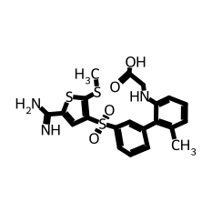 CSc1sc(C(=N)N)cc1S(=O)(=O)c1cccc(-c2c(C)cccc2NCC(=O)O)c1